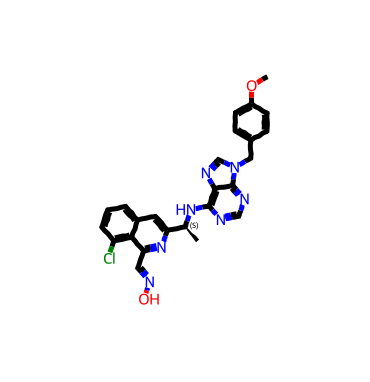 COc1ccc(Cn2cnc3c(N[C@@H](C)c4cc5cccc(Cl)c5c(C=NO)n4)ncnc32)cc1